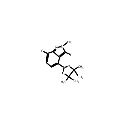 Cn1nc2c(F)ccc(B3OC(C)(C)C(C)(C)O3)c2c1F